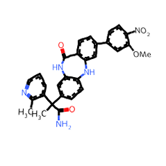 COc1cc(-c2ccc3c(c2)Nc2ccc(C(C)(C(N)=O)c4cccnc4C)cc2NC3=O)ccc1[N+](=O)[O-]